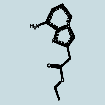 CCOC(=O)Cc1cn2cccc(N)c2n1